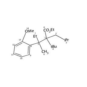 CCOC(=O)C(CC(C)C)(C(C)(C)C)C(C)(CC)c1ccccc1OC